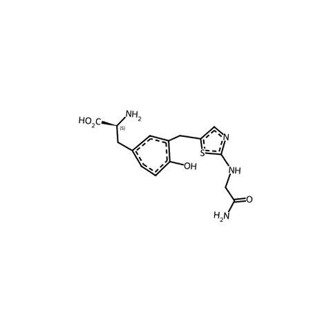 NC(=O)CNc1ncc(Cc2cc(C[C@H](N)C(=O)O)ccc2O)s1